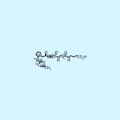 [13CH3][15N]1C[13CH2][15N]([13CH2]C2CCC[15N]2CC(=O)N[13CH2][13CH2][13C](=O)NC[13CH2][13C](=O)NCCCC(=O)O)[13CH2][13CH2]1